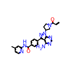 C=CC(=O)N1CCC(n2nc(-c3ccc(C(=O)Nc4cc(C)ccn4)cc3)c3c(N)ncnc32)C1